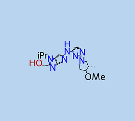 CO[C@H]1CCN(c2nccc(Nc3cc4c(cn3)nc(CO)n4C(C)C)n2)C[C@@H]1C